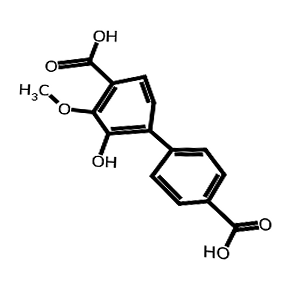 COc1c(C(=O)O)ccc(-c2ccc(C(=O)O)cc2)c1O